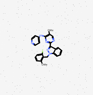 COc1cnc(-c2nn(Cc3c(F)cccc3OC)c3ccccc23)nc1Nc1ccncc1